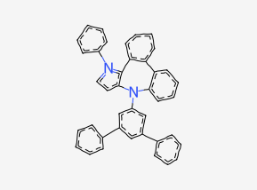 c1ccc(-c2cc(-c3ccccc3)cc(N3c4ccccc4-c4ccccc4-c4c3ccn4-c3ccccc3)c2)cc1